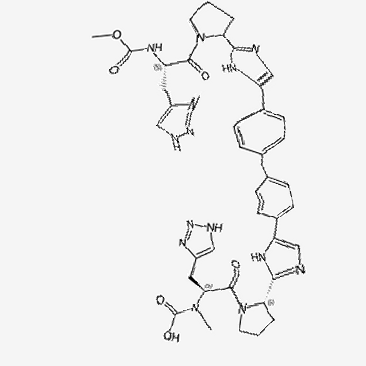 COC(=O)N[C@@H](Cc1c[nH]nn1)C(=O)N1CCCC1c1ncc(-c2ccc(-c3ccc(-c4cnc([C@@H]5CCCN5C(=O)[C@H](Cc5c[nH]nn5)N(C)C(=O)O)[nH]4)cc3)cc2)[nH]1